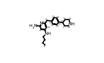 CCCCNc1cc(N)nc(Cc2ccc(C3CCNCC3)cc2)c1